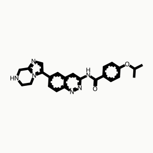 CC(C)Oc1ccc(C(=O)Nc2cc3cc(-c4cnc5n4CCNC5)ccc3nn2)cc1